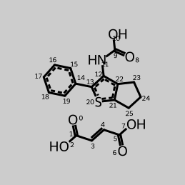 O=C(O)C=CC(=O)O.O=C(O)Nc1c(-c2ccccc2)sc2c1CCC2